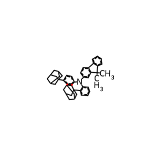 CC1(C)c2ccccc2-c2ccc(N(c3ccc(C45CC6CC(CC(C6)C4)C5)cc3)c3ccccc3C34CC5CC(CC(C5)C3)C4)cc21